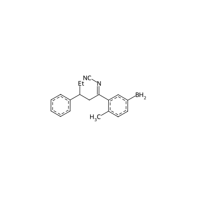 Bc1ccc(C)c(/C(CC(CC)c2ccccc2)=N/C#N)c1